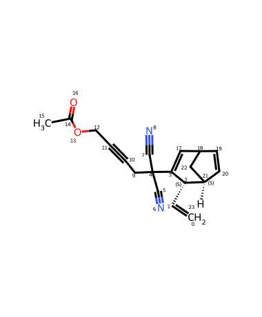 C=C[C@@H]1C(C(C#N)(C#N)CC#CCOC(C)=O)=CC2C=C[C@@H]1C2